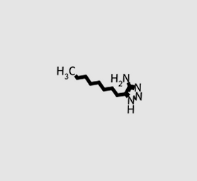 CCCCCCCCc1[nH]nnc1N